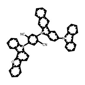 N#Cc1cc(-n2c3ccccc3c3c4oc5ccccc5c4ccc32)c(C#N)cc1-n1c2ccc(-n3c4ccccc4c4ccccc43)cc2c2cc3ccccc3cc21